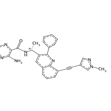 C[C@@H](NC(=O)c1nccnc1N)c1cc2cccc(C#Cc3cnn(C)c3)c2nc1-c1ccccc1